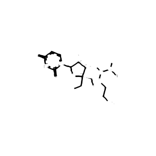 CC(C)N(C(C)C)P(OCCC#N)O[C@H]1[C@@H](F)C(n2ccc(=O)[nH]c2=O)O[C@@]1(CO)CF